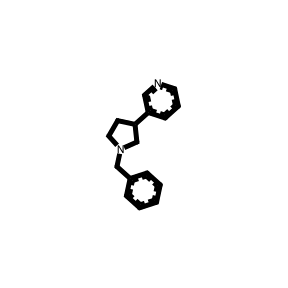 c1ccc(CN2CCC(c3cccnc3)C2)cc1